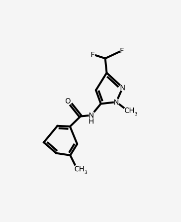 Cc1cccc(C(=O)Nc2cc(C(F)F)nn2C)c1